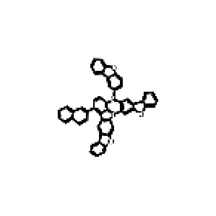 c1ccc2cc(-c3ccc4c5c3-c3cc6c(cc3B5c3cc5oc7ccccc7c5cc3N4c3ccc4oc5ccccc5c4c3)oc3ccccc36)ccc2c1